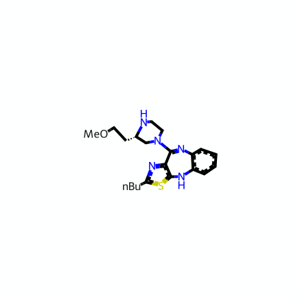 CCCCc1nc2c(s1)Nc1ccccc1N=C2N1CCN[C@@H](CCOC)C1